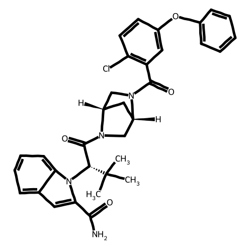 CC(C)(C)[C@@H](C(=O)N1C[C@@H]2C[C@H]1CN2C(=O)c1cc(Oc2ccccc2)ccc1Cl)n1c(C(N)=O)cc2ccccc21